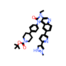 CCn1c(=O)n(-c2ccc(C3CCN(C(=O)OC(C)(C)C)CC3)cc2)c2c3cc(-c4ccc(C5=CN(C)NC5)nc4)ccc3ncc21